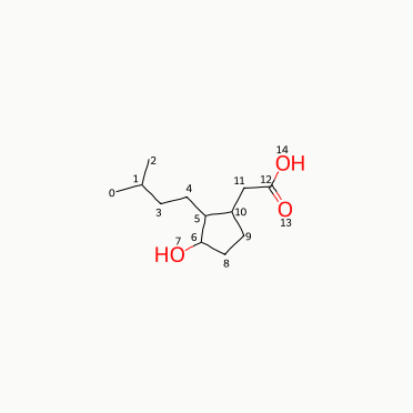 CC(C)CCC1C(O)CCC1CC(=O)O